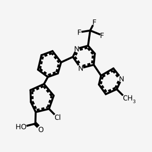 Cc1ccc(-c2cc(C(F)(F)F)nc(-c3cccc(-c4ccc(C(=O)O)c(Cl)c4)c3)n2)cn1